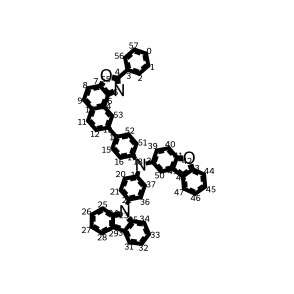 c1ccc(-c2nc3c(ccc4ccc(-c5ccc(N(c6ccc(-n7c8ccccc8c8ccccc87)cc6)c6ccc7oc8ccccc8c7c6)cc5)cc43)o2)cc1